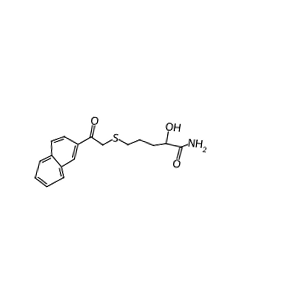 NC(=O)C(O)CCCSCC(=O)c1ccc2ccccc2c1